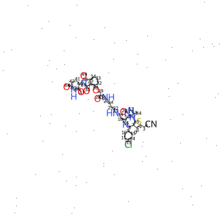 Cc1c(CC#N)sc2c1C(c1ccc(Cl)cc1)=N/C(=C/C(=O)NCCCCNC(=O)COc1cccc3c1C(=O)N(C1CCC(=O)NC1=O)C3=O)c1nnc(C)n1-2